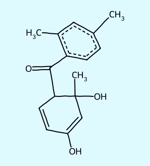 Cc1ccc(C(=O)C2C=CC(O)=CC2(C)O)c(C)c1